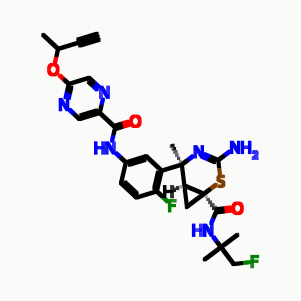 C#CC(C)Oc1cnc(C(=O)Nc2ccc(F)c([C@@]3(C)N=C(N)S[C@@]4(C(=O)NC(C)(C)CF)C[C@H]43)c2)cn1